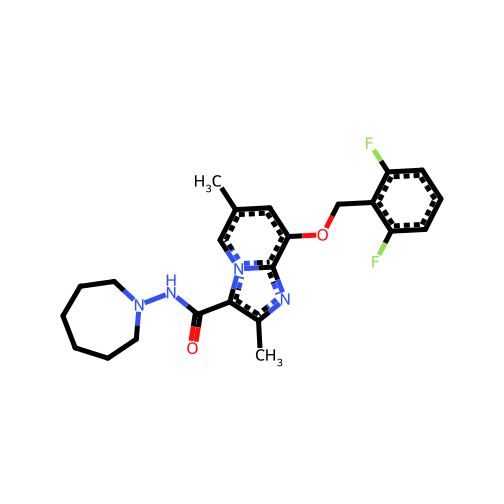 Cc1cc(OCc2c(F)cccc2F)c2nc(C)c(C(=O)NN3CCCCCC3)n2c1